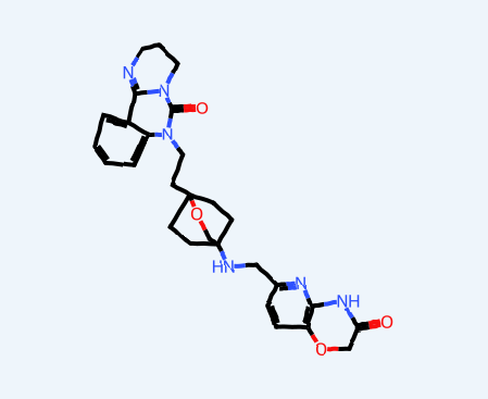 O=C1COc2ccc(CNC34CCC(CCN5C(=O)N6CCCN=C6c6ccccc65)(CC3)OC4)nc2N1